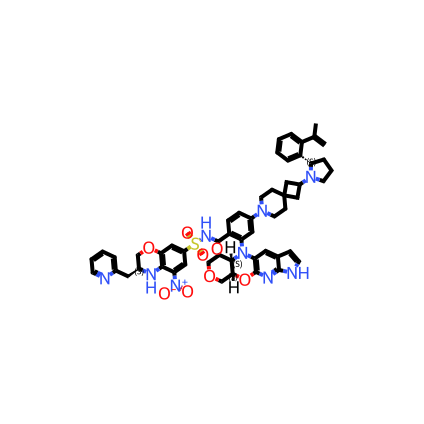 C=C(C)c1ccccc1[C@@H]1CCCN1C1CC2(CCN(c3ccc(C(=O)NS(=O)(=O)c4cc5c(c([N+](=O)[O-])c4)N[C@@H](Cc4ccccn4)CO5)c(N4c5cc6cc[nH]c6nc5O[C@@H]5COCC[C@@H]54)c3)CC2)C1